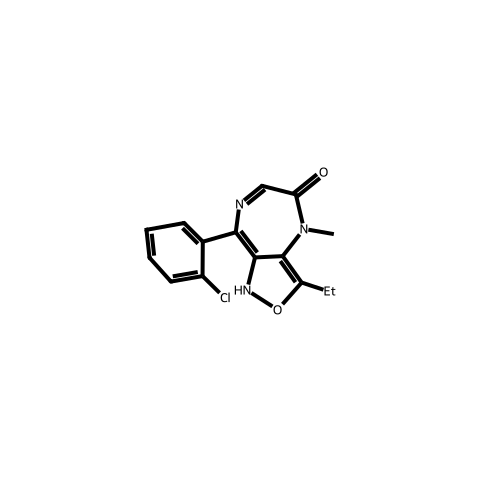 CCC1=C2C(=C(c3ccccc3Cl)N=CC(=O)N2C)NO1